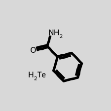 NC(=O)c1ccccc1.[TeH2]